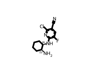 N#Cc1cc(F)c(N[C@@H]2CCCC[C@@H]2N)nc1Cl